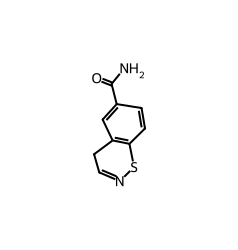 NC(=O)c1ccc2c(c1)CC=NS2